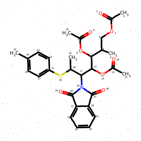 CC(=O)OCC(C)C(OC(C)=O)C(OC(C)=O)C(C(C)Sc1ccc(C)cc1)N1C(=O)c2ccccc2C1=O